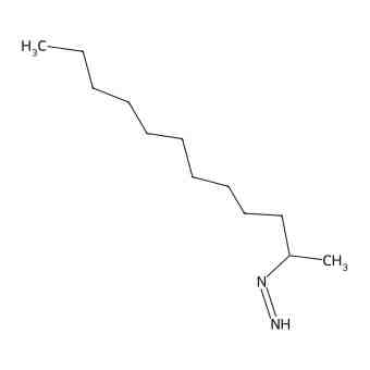 CCCCCCCCCCC(C)N=N